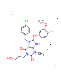 Cn1c2c(c(=O)n(CCCO)c1=O)N(Cc1ccc(Cl)cc1)C(Oc1ccc(F)c(OC(F)(F)F)c1)N2